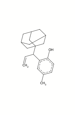 C=CC(c1cc(C)ccc1O)C12CC3CC(CC(C3)C1)C2